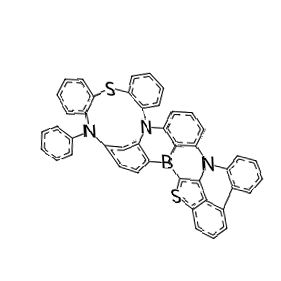 c1ccc(N2c3ccc4c(c3)N(c3ccccc3Sc3ccccc32)c2cccc3c2B4c2sc4cccc5c4c2N3c2ccccc2-5)cc1